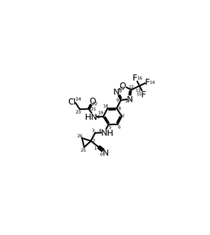 N#CC1(CNc2ccc(-c3noc(C(F)(F)F)n3)cc2NC(=O)CCl)CC1